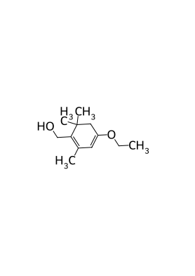 CCOC1=CC(C)=C(CO)C(C)(C)C1